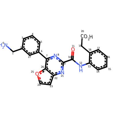 NCc1cccc(-c2nc(C(=O)Nc3ccccc3CC(=O)O)nc3ccoc23)c1